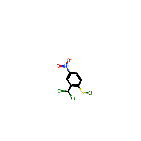 O=[N+]([O-])c1ccc(SCl)c(C(Cl)Cl)c1